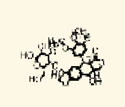 COc1cc([C@@H]2c3cc4c(cc3[C@H](O)[C@H]3COC(=O)[C@H]23)OCO4)cc(OC)c1OC.OC[C@H]1O[C@H](O)[C@H](O)[C@@H](O)[C@@H]1O